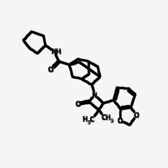 CC1(C)C(=O)N(C2C3CC4CC2CC(C(=O)NC2CCCCC2)(C4)C3)C1c1cccc2c1OCO2